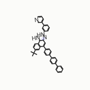 CC(C)(C)c1ccc2c(c1)C(c1ccc(-c3ccc(-c4ccccc4)cc3)cc1)=C/C(=N/Nc1cccc(-c3cccnc3)c1)C2=N